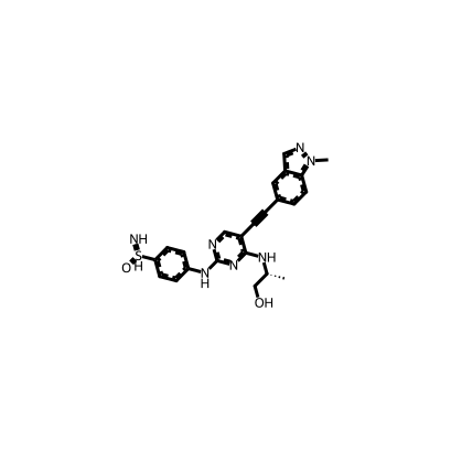 C[C@H](CO)Nc1nc(Nc2ccc([SH](=N)=O)cc2)ncc1C#Cc1ccc2c(cnn2C)c1